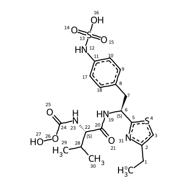 CCc1csc([C@H](Cc2ccc(NS(=O)(=O)O)cc2)NC(=O)[C@@H](NC(=O)OO)C(C)C)n1